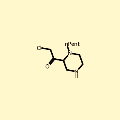 CCCCCN1CCNCC1C(=O)CCl